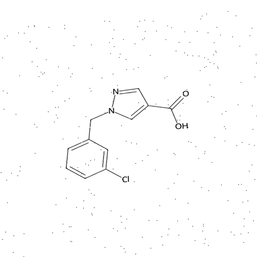 O=C(O)c1cnn(Cc2cccc(Cl)c2)c1